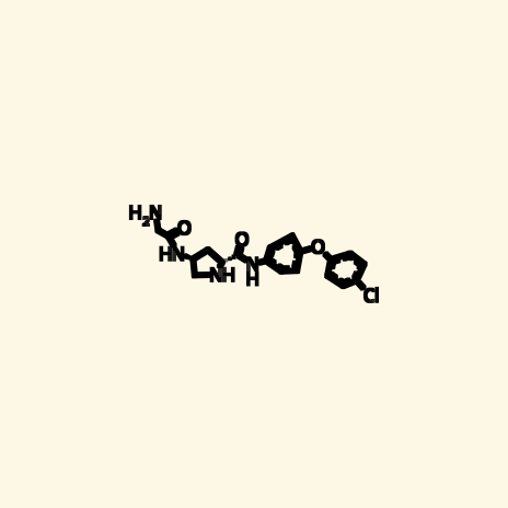 NCC(=O)N[C@@H]1CN[C@@H](C(=O)Nc2ccc(Oc3ccc(Cl)cc3)cc2)C1